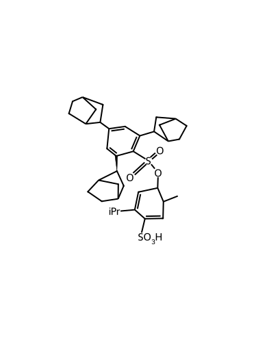 CC(C)C1=CC(OS(=O)(=O)c2c(C3CC4CCC3C4)cc(C3CC4CCC3C4)cc2[C@H]2CC3CCC2C3)C(C)C=C1S(=O)(=O)O